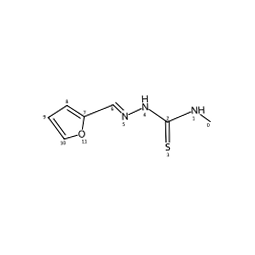 CNC(=S)NN=Cc1ccco1